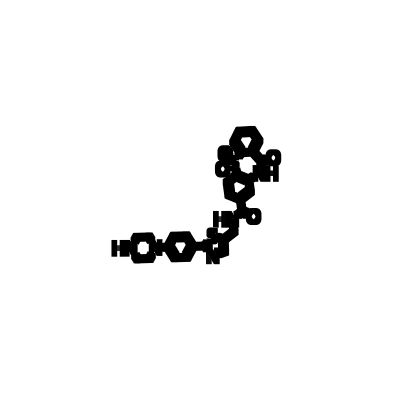 O=C(NCc1cnc(-c2ccc(N3CCNCC3)cc2)s1)c1ccc2c(c1)NC(=O)c1ccccc1S2(=O)=O